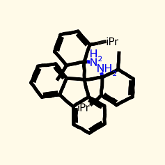 CC(C)C1=CC=CC(C)C1(N)C1(C2(N)C(C(C)C)=CC=CC2C)c2ccccc2-c2ccccc21